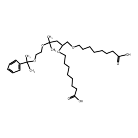 CC(C)(CC(COCCCCCCCC(=O)O)OCCCCCCCC(=O)O)OCCOC(C)(C)c1ccccc1